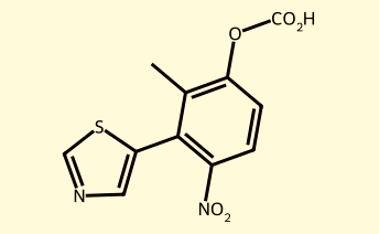 Cc1c(OC(=O)O)ccc([N+](=O)[O-])c1-c1cncs1